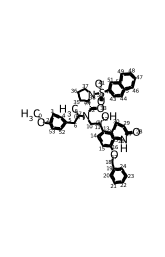 COc1ccc(C[C@@H](C)N(C[C@H](O)c2ccc(OCc3ccccc3)c3[nH]c(=O)ccc23)C(=O)[C@@H]2CCCN2S(=O)(=O)c2ccc3ccccc3c2)cc1